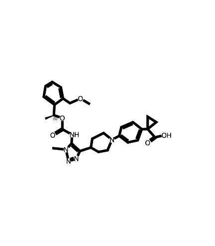 COCc1ccccc1[C@H](C)OC(=O)Nc1c(C2CCN(c3ccc(C4(C(=O)O)CC4)cc3)CC2)nnn1C